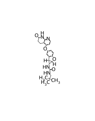 CC(C)(C)CNC(=O)NC1[C@H]2Oc3ccc(Oc4ccnc5c4CCC(=O)N5)cc3[C@@H]12